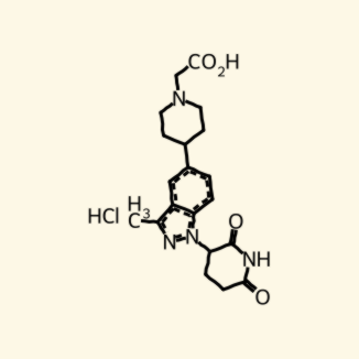 Cc1nn(C2CCC(=O)NC2=O)c2ccc(C3CCN(CC(=O)O)CC3)cc12.Cl